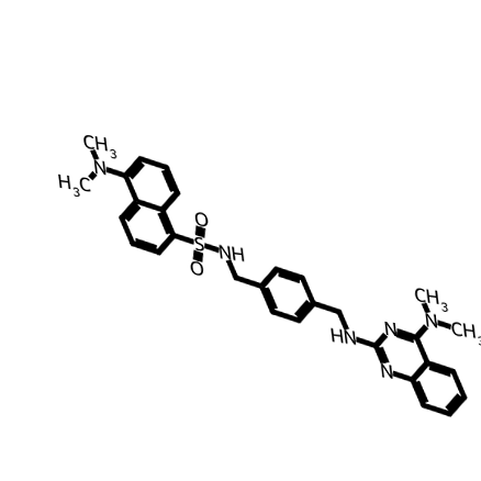 CN(C)c1nc(NCc2ccc(CNS(=O)(=O)c3cccc4c(N(C)C)cccc34)cc2)nc2ccccc12